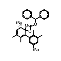 CC1=C[C@@H](C(C)(C)C)C2(OP(OC(c3ccccc3)c3ccccc3)O2)C(c2cc(C(C)(C)C)cc(C)c2C)=C1C